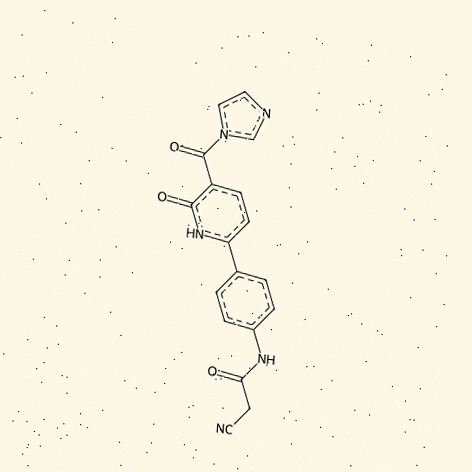 N#CCC(=O)Nc1ccc(-c2ccc(C(=O)n3ccnc3)c(=O)[nH]2)cc1